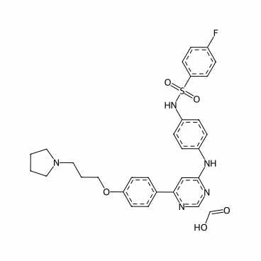 O=CO.O=S(=O)(Nc1ccc(Nc2cc(-c3ccc(OCCCN4CCCC4)cc3)ncn2)cc1)c1ccc(F)cc1